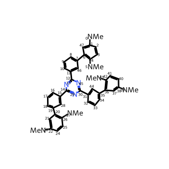 CNc1ccc(NC)c(-c2cccc(-c3nc(-c4cccc(-c5cc(NC)ccc5NC)c4)nc(-c4cccc(-c5cc(NC)ccc5NC)c4)n3)c2)c1